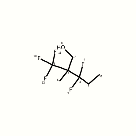 CCC(F)(F)C(C)(CO)C(F)(F)F